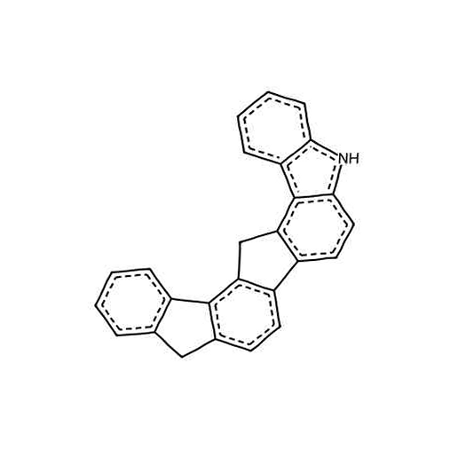 c1ccc2c(c1)Cc1ccc3c(c1-2)Cc1c-3ccc2[nH]c3ccccc3c12